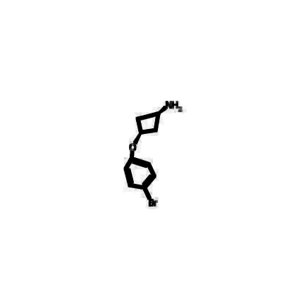 N[C@H]1C[C@@H](Oc2ccc(Br)cc2)C1